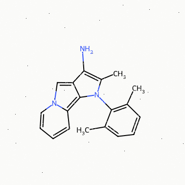 Cc1cccc(C)c1-n1c(C)c(N)c2cn3ccccc3c21